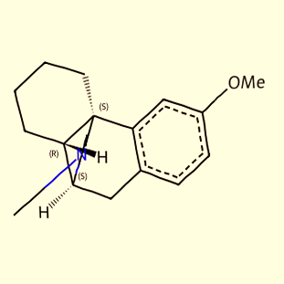 COc1ccc2c(c1)[C@]13CCCC[C@H]1[C@H](C2)N(C)CCC3